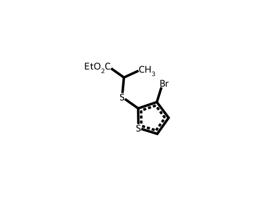 CCOC(=O)C(C)Sc1sccc1Br